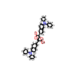 O=C1OC2=C(c3ccc4cc(N(c5ccccc5)c5ccccc5)ccc4c3)C(=O)OC2=C1c1ccc2cc(N(c3ccccc3)c3ccccc3)ccc2c1